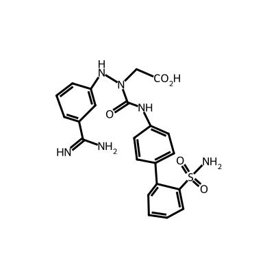 N=C(N)c1cccc(NN(CC(=O)O)C(=O)Nc2ccc(-c3ccccc3S(N)(=O)=O)cc2)c1